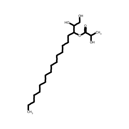 CCCCCCCCCCCCCCCCC(OC(=O)C(C)O)C(O)CO